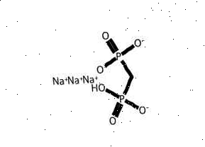 O=P([O-])([O-])CP(=O)([O-])O.[Na+].[Na+].[Na+]